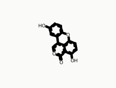 O=c1occ2c3c(ccc(O)c13)Oc1ccc(O)cc1-2